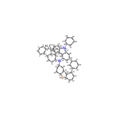 CC1(C)c2ccccc2-c2ccc(N(c3ccc4sc5cccc(-c6ccccc6)c5c4c3)c3cccc4c3c3ccccc3n4-c3ccccc3)cc21